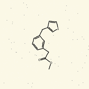 COC(=O)Cc1cccc(Cc2ccsc2)c1